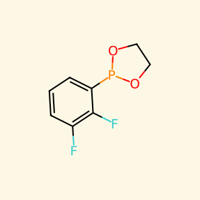 Fc1cccc(P2OCCO2)c1F